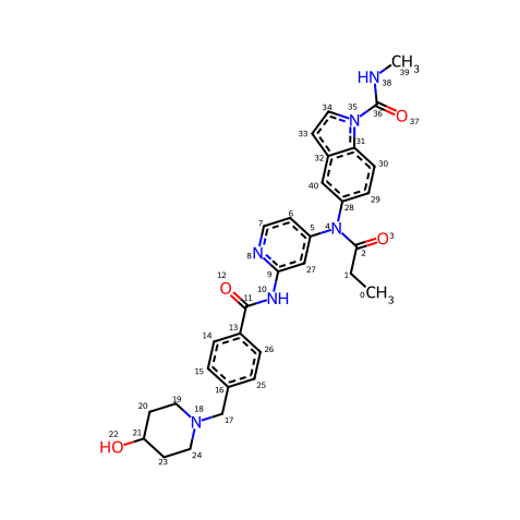 CCC(=O)N(c1ccnc(NC(=O)c2ccc(CN3CCC(O)CC3)cc2)c1)c1ccc2c(ccn2C(=O)NC)c1